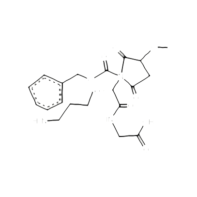 COC1CC(=O)[N+](C(=O)OCc2ccccc2)([C@@H](CCCCN)C(=O)N[C@@H](C)C(=O)O)C1=O